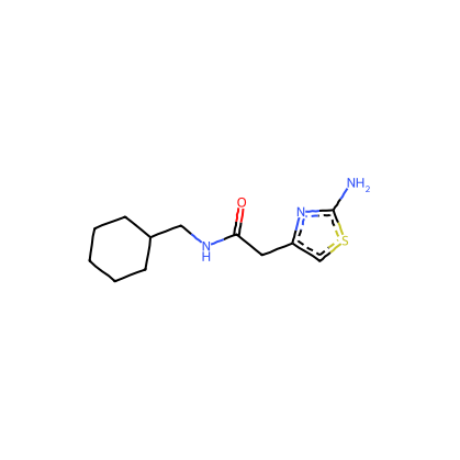 Nc1nc(CC(=O)NCC2CCCCC2)cs1